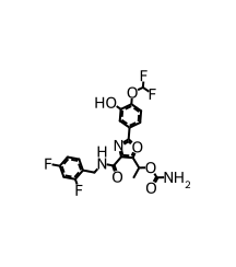 CC(OC(N)=O)c1oc(-c2ccc(OC(F)F)c(O)c2)nc1C(=O)NCc1ccc(F)cc1F